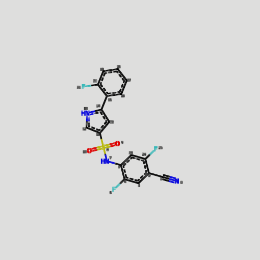 N#Cc1cc(F)c(NS(=O)(=O)c2c[nH]c(-c3ccccc3F)c2)cc1F